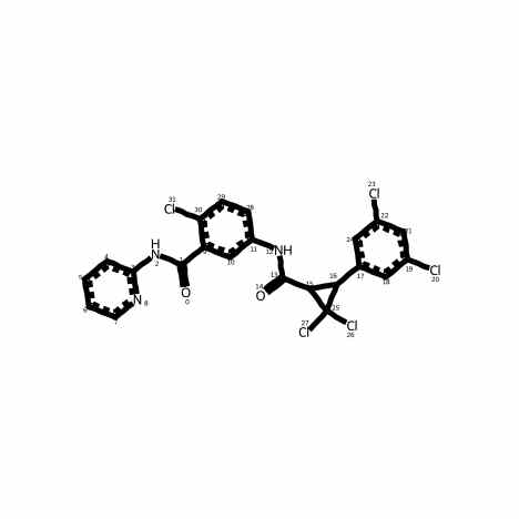 O=C(Nc1ccccn1)c1cc(NC(=O)C2C(c3cc(Cl)cc(Cl)c3)C2(Cl)Cl)ccc1Cl